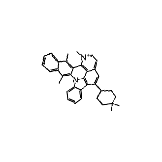 Cc1c2ccccc2c(C)c2c1c1c3c(cc[n+]1C)cc(C1CCC(C)(C)CC1)c1c4ccccc4n2c13